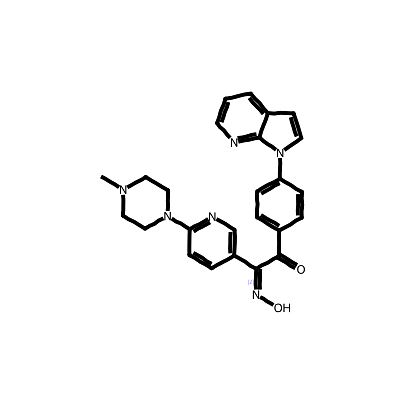 CN1CCN(c2ccc(/C(=N/O)C(=O)c3ccc(-n4ccc5cccnc54)cc3)cn2)CC1